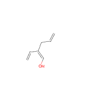 C=CCC(C=C)=CO